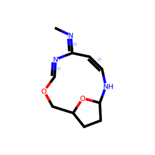 C/N=C1/C=C\NC2CCC(CO/C=N/1)O2